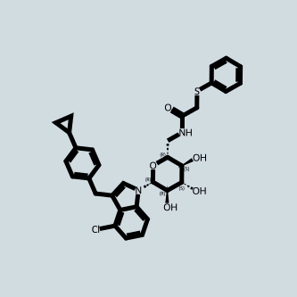 O=C(CSc1ccccc1)NC[C@H]1O[C@@H](n2cc(Cc3ccc(C4CC4)cc3)c3c(Cl)cccc32)[C@H](O)[C@@H](O)[C@@H]1O